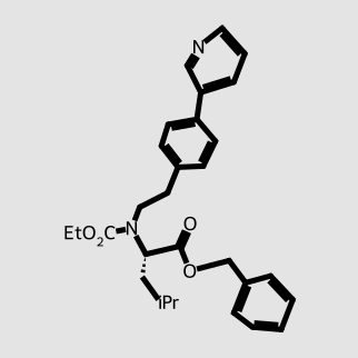 CCOC(=O)N(CCc1ccc(-c2cccnc2)cc1)[C@@H](CC(C)C)C(=O)OCc1ccccc1